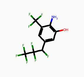 Nc1c(O)cc(C(F)C(F)(F)C(F)(F)F)cc1C(F)(F)F